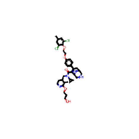 Cc1cc(Cl)c(OCCOc2ccc(C3=C(C(=O)N(Cc4ccnc(OCCCO)c4C)C4CC4)C4CNCC(C3)N4)cc2)c(Cl)c1